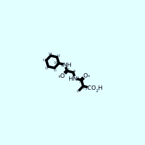 CC(C(=O)O)C(=O)NCC(=O)NC1CCCCC1